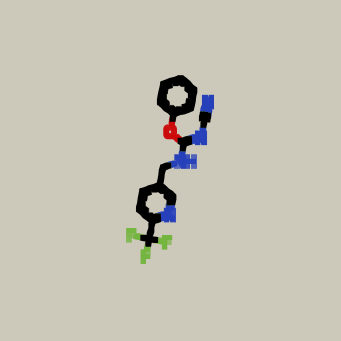 N#C/N=C(/NCc1ccc(C(F)(F)F)nc1)Oc1ccccc1